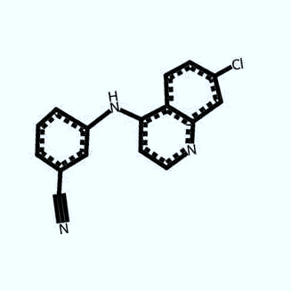 N#Cc1cccc(Nc2ccnc3cc(Cl)ccc23)c1